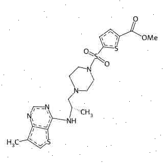 COC(=O)c1ccc(S(=O)(=O)N2CCN(C[C@H](C)Nc3ncnc4c(C)csc34)CC2)s1